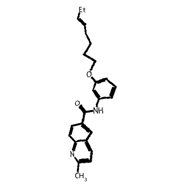 CCC=CCCCCOc1cccc(NC(=O)c2ccc3nc(C)ccc3c2)c1